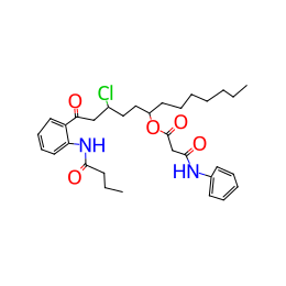 CCCCCCCC(CCC(Cl)CC(=O)c1ccccc1NC(=O)CCC)OC(=O)CC(=O)Nc1ccccc1